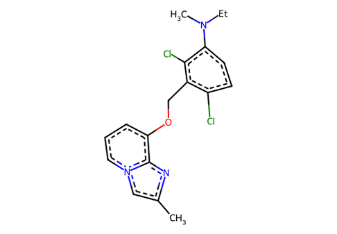 CCN(C)c1ccc(Cl)c(COc2cccn3cc(C)nc23)c1Cl